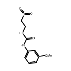 COc1cccc(NC(=O)NCC[SH](=O)=O)c1